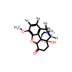 [2H]c1c([2H])c2c3c(c1OC)OC1C(=O)CC[C@@]4(O)[C@H](N(C)CC[C@]314)C2([2H])[2H]